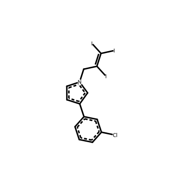 Clc1cccc(-c2ccn(CC(I)=C(I)I)c2)c1